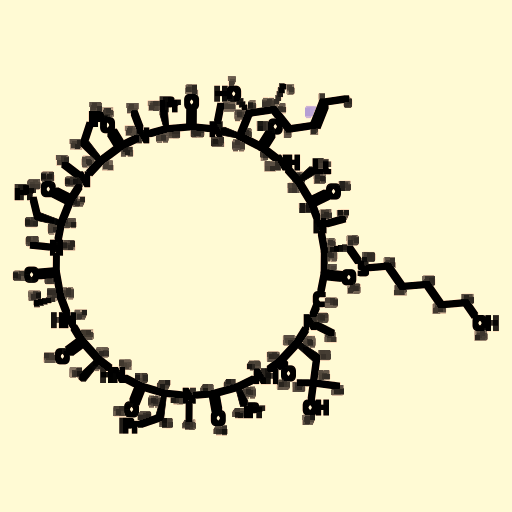 C/C=C/C[C@@H](C)[C@@H](O)[C@H]1C(=O)N[C@@H](CC)C(=O)N(C)[C@H](CSCCCCCO)C(=O)CN(C)[C@@H](CC(C)(C)O)C(=O)N[C@@H](C(C)C)C(=O)N(C)[C@@H](CC(C)C)C(=O)N[C@@H](C)C(=O)N[C@H](C)C(=O)N(C)[C@@H](CC(C)C)C(=O)N(C)[C@@H](CC(C)C)C(=O)N(C)[C@@H](C(C)C)C(=O)N1C